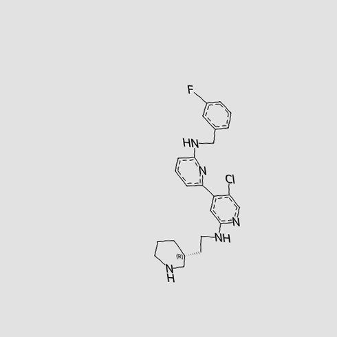 Fc1cccc(CNc2cccc(-c3cc(NCC[C@H]4CCCNC4)ncc3Cl)n2)c1